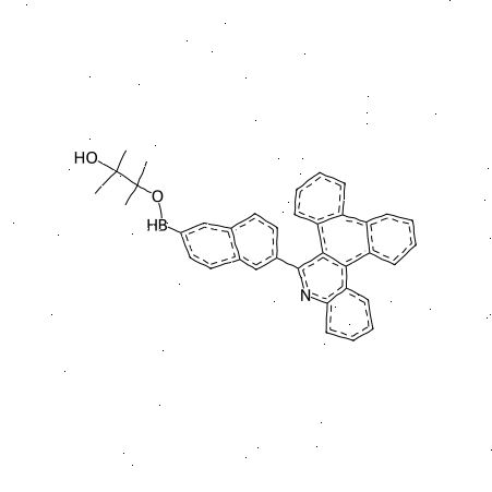 CC(C)(O)C(C)(C)OBc1ccc2cc(-c3nc4ccccc4c4c5ccccc5c5ccccc5c34)ccc2c1